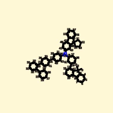 CC1(C)c2ccccc2-c2cccc(-c3cccc(N(c4ccc(-c5ccc(-c6ccccc6-c6ccccc6)cc5)cc4)c4ccc5c(c4)C4(CCCC4)c4ccccc4-5)c3)c21